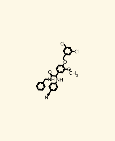 COc1cc(C(Nc2ccc(C#N)cc2)C(=O)NCc2ccccc2)ccc1OCc1cc(Cl)cc(Cl)c1